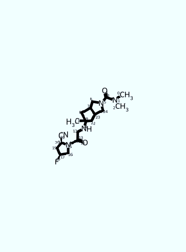 CN(C)C(=O)N1CC2CC(C)(NCC(=O)N3C[C@@H](F)C[C@H]3C#N)CC2C1